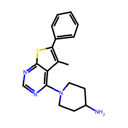 Cc1c(-c2ccccc2)sc2ncnc(N3CCC(N)CC3)c12